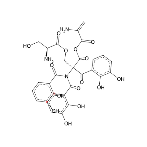 C=C(N)C(=O)OC(=O)[C@@](COC(=O)[C@@H](N)CO)(C(=O)c1cccc(O)c1O)N(C(=O)c1cccc(O)c1O)C(=O)c1cccc(O)c1O